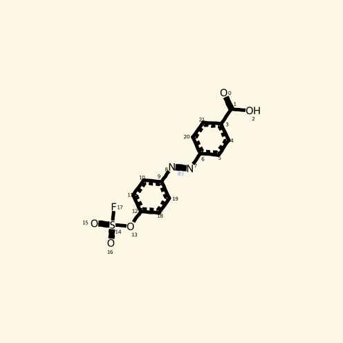 O=C(O)c1ccc(/N=N/c2ccc(OS(=O)(=O)F)cc2)cc1